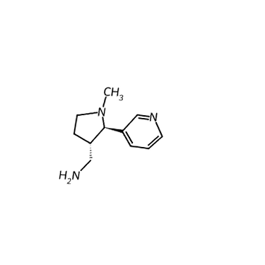 CN1CC[C@@H](CN)[C@@H]1c1cccnc1